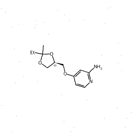 CCC1(C)OC[C@H](COc2ccnc(N)c2)O1